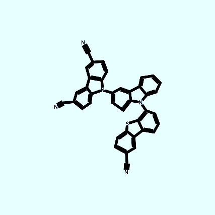 N#Cc1ccc2sc3c(-n4c5ccccc5c5cc(-n6c7ccc(C#N)cc7c7cc(C#N)ccc76)ccc54)cccc3c2c1